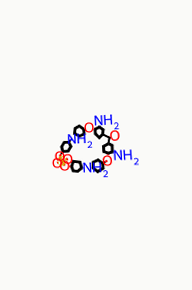 Nc1cc(C(=O)c2ccc(Oc3ccccc3)c(N)c2)ccc1Oc1ccccc1.Nc1ccc(OS(=O)(=O)Oc2ccc(N)cc2)cc1